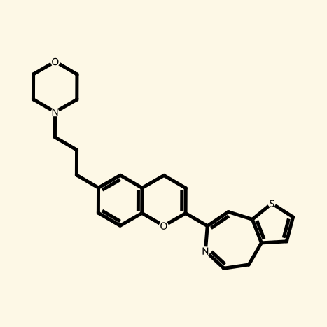 C1=NC(C2=CCc3cc(CCCN4CCOCC4)ccc3O2)=Cc2sccc2C1